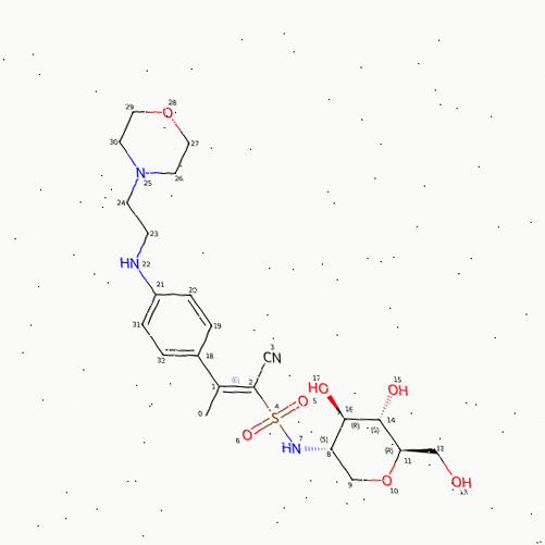 C/C(=C(/C#N)S(=O)(=O)N[C@H]1CO[C@H](CO)[C@@H](O)[C@@H]1O)c1ccc(NCCN2CCOCC2)cc1